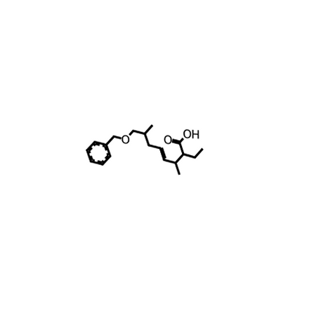 CCC(C(=O)O)C(C)C=CCC(C)COCc1ccccc1